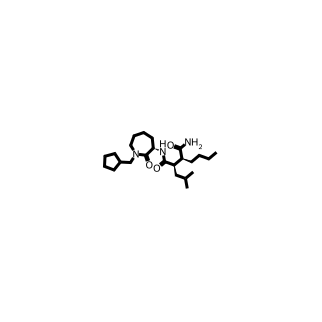 CCCC[C@H](C(N)=O)[C@@H](CC(C)C)C(=O)N[C@H]1CCCCN(CC2CCCC2)C1=O